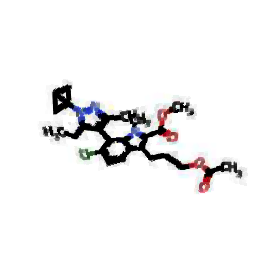 CCc1c(-c2c(Cl)ccc3c(CCCOC(C)=O)c(C(=O)OC)n(C)c23)c(C)nn1C12CC1C2